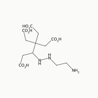 NCCNNC(CC(=O)O)C(CC(=O)O)(CC(=O)O)CC(=O)O